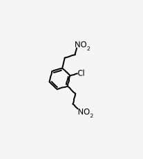 O=[N+]([O-])CCc1cccc(CC[N+](=O)[O-])c1Cl